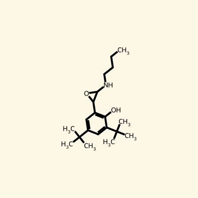 CCCCNC1OC1c1cc(C(C)(C)C)cc(C(C)(C)C)c1O